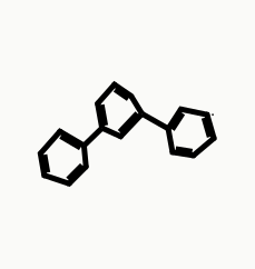 [c]1cccc(-c2cccc(-c3ccccc3)c2)c1